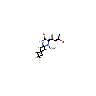 CC(/C=C(\C)Br)=C1\C(=O)NC2(CC3(CC(F)(F)C3)C2)N1C=O